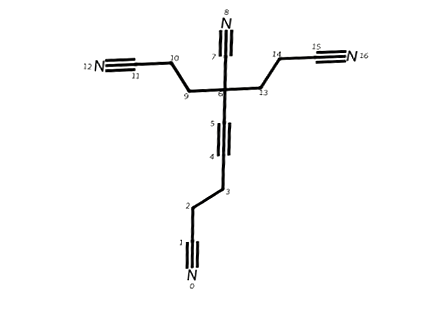 N#CCCC#CC(C#N)(CCC#N)CCC#N